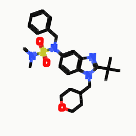 CN(C)S(=O)(=O)N(Cc1ccccc1)c1ccc2c(c1)nc(C(C)(C)C)n2CC1CCOCC1